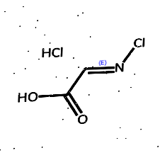 Cl.O=C(O)/C=N/Cl